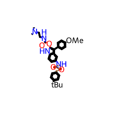 COc1ccc(-c2c(OC(=O)NCCN(C)C)[nH]c3ccc(NS(=O)(=O)c4ccc(C(C)(C)C)cc4)cc23)cc1